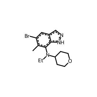 CCN(c1c(C)c(Br)cc2cn[nH]c12)C1CCOCC1